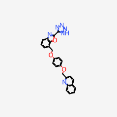 c1ccc2nc(COc3ccc(OCc4cccc5nc(-c6nnn[nH]6)oc45)cc3)ccc2c1